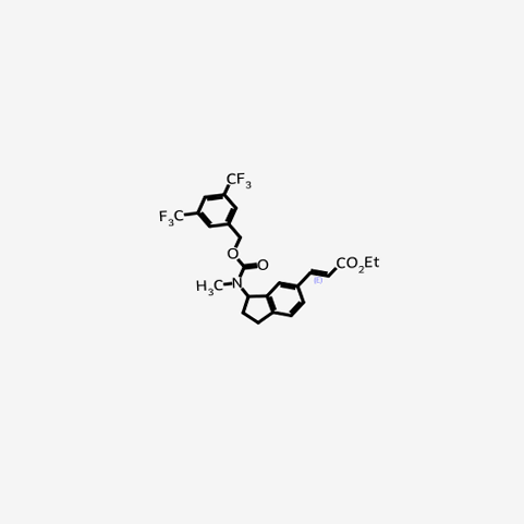 CCOC(=O)/C=C/c1ccc2c(c1)C(N(C)C(=O)OCc1cc(C(F)(F)F)cc(C(F)(F)F)c1)CC2